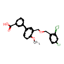 COc1ccc(-c2cccc(C(=O)O)c2)cc1COCc1ccc(Cl)cc1Cl